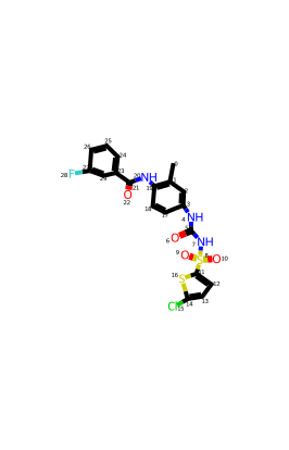 Cc1cc(NC(=O)NS(=O)(=O)c2ccc(Cl)s2)ccc1NC(=O)c1cccc(F)c1